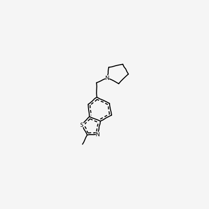 Cc1nc2ccc(CN3CCCC3)cc2s1